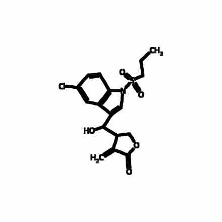 C=C1C(=O)OCC1C(O)c1cn(S(=O)(=O)CCC)c2ccc(Cl)cc12